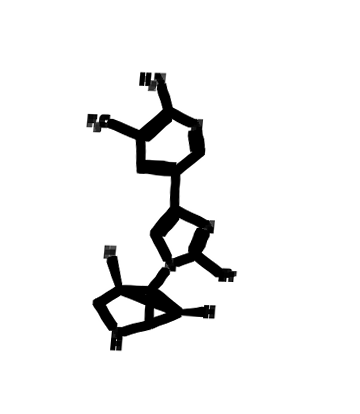 CC(C)c1nc(-c2cnc(N)c(C(F)(F)F)c2)cn1C12C3NC[C@H]1[C@@H]32